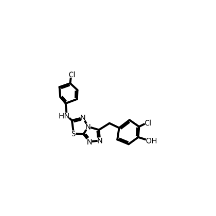 Oc1ccc(Cc2nnc3sc(Nc4ccc(Cl)cc4)nn23)cc1Cl